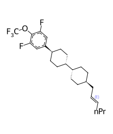 CCC/C=C/C[C@H]1CC[C@H]([C@H]2CC[C@H](c3cc(F)c(OC(F)(F)F)c(F)c3)CC2)CC1